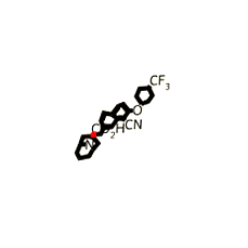 N#Cc1c(OC2CCC(C(F)(F)F)CC2)ccc2ccc(CCN3C4CCCC3CC(C(=O)O)C4)cc12